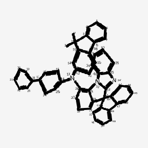 CC1(C)c2ccccc2-c2ccc(N(c3ccc(-c4ccccc4)cc3)c3cccc4c3-n3c(nc5ccccc53)C43c4ccccc4-c4ccccc43)cc21